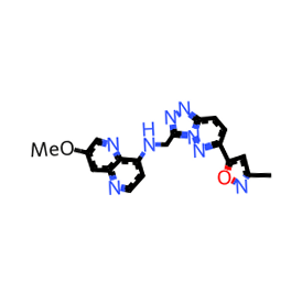 COc1cnc2c(NCc3nnc4ccc(-c5cc(C)no5)nn34)ccnc2c1